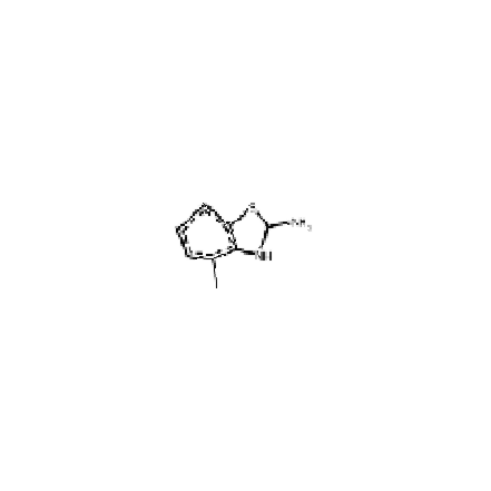 Cc1cccc2c1NC(N)S2